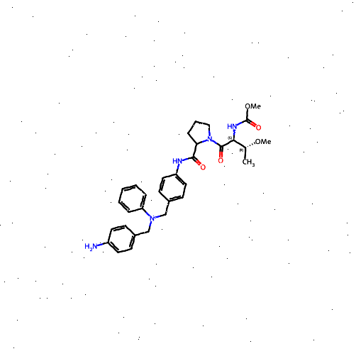 COC(=O)N[C@H](C(=O)N1CCCC1C(=O)Nc1ccc(CN(Cc2ccc(N)cc2)c2ccccc2)cc1)[C@@H](C)OC